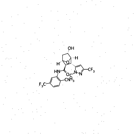 Cn1nc(C(F)(F)F)cc1[C@H]1[C@H]2O[C@H](C[C@@H]2O)[C@@H]1C(=O)Nc1cc(C(F)(F)F)ccc1C#N